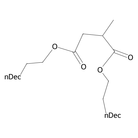 CCCCCCCCCCCCOC(=O)CC(C)C(=O)OCCCCCCCCCCCC